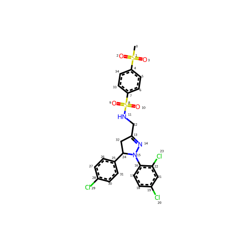 CS(=O)(=O)c1ccc(S(=O)(=O)NCC2=NN(c3ccc(Cl)cc3Cl)C(c3ccc(Cl)cc3)C2)cc1